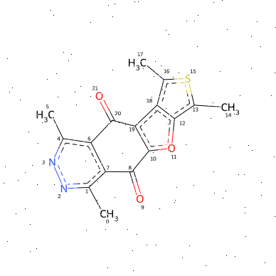 Cc1nnc(C)c2c1C(=O)c1oc3c(C)sc(C)c3c1C2=O